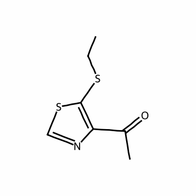 CCSc1scnc1C(C)=O